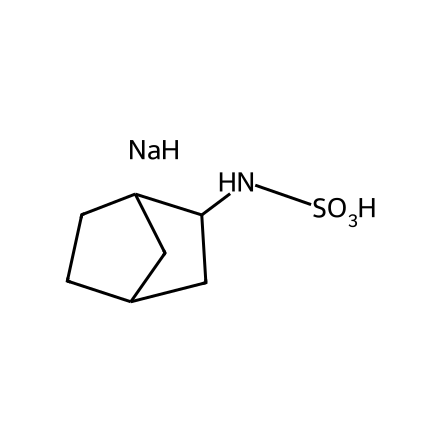 O=S(=O)(O)NC1CC2CCC1C2.[NaH]